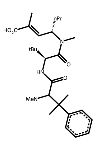 CCC[C@@H](/C=C(\C)C(=O)O)N(C)C(=O)[C@@H](NC(=O)C(NC)C(C)(C)c1ccccc1)C(C)(C)C